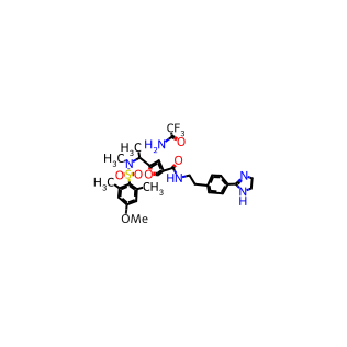 COc1cc(C)c(S(=O)(=O)N(C)C(C)c2cc(C(=O)NCCc3ccc(C4=NCCN4)cc3)co2)c(C)c1.NC(=O)C(F)(F)F